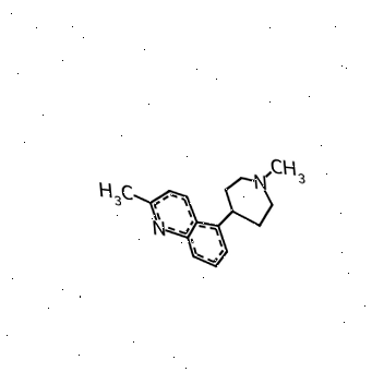 Cc1ccc2c(C3CCN(C)CC3)cccc2n1